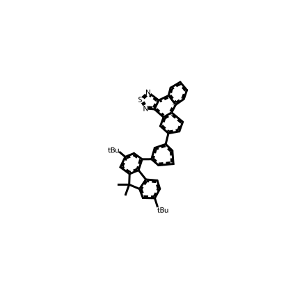 CC(C)(C)c1ccc2c(c1)C(C)(C)c1cc(C(C)(C)C)cc(-c3cccc(-c4ccc5c6ccccc6c6nsnc6c5c4)c3)c1-2